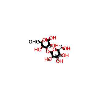 O=CC(O)C(O)C(O[C@H]1O[C@H](CO)[C@H](O)[C@H](O)[C@H]1O)C(O)CO